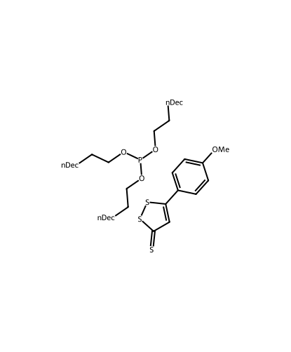 CCCCCCCCCCCCOP(OCCCCCCCCCCCC)OCCCCCCCCCCCC.COc1ccc(-c2cc(=S)ss2)cc1